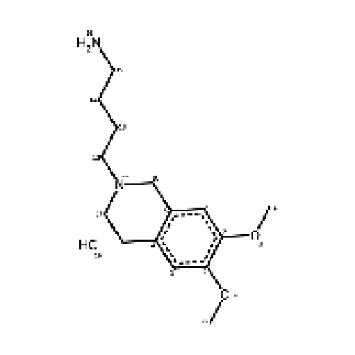 COc1cc2c(cc1OC)CN(CCCCN)CC2.Cl